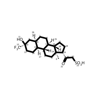 C[C@]12CC[C@H]3[C@@H](CC[C@@H]4C[C@@](O)(C(F)(F)F)CC[C@@H]43)[C@@H]1CC[C@@H]2C(=O)CS(=O)(=O)O